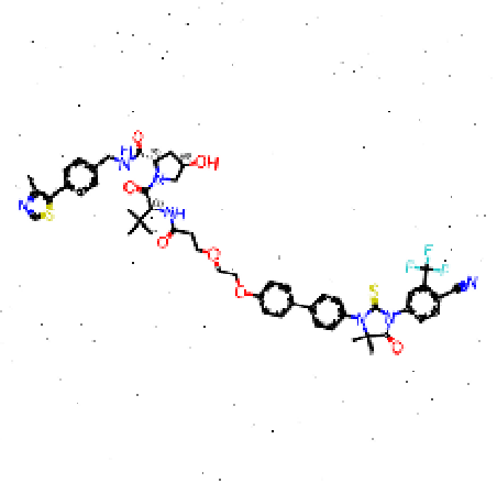 Cc1ncsc1-c1ccc(CNC(=O)[C@@H]2C[C@@H](O)CN2C(=O)[C@@H](NC(=O)CCOCCOc2ccc(-c3ccc(N4C(=S)N(c5ccc(C#N)c(C(F)(F)F)c5)C(=O)C4(C)C)cc3)cc2)C(C)(C)C)cc1